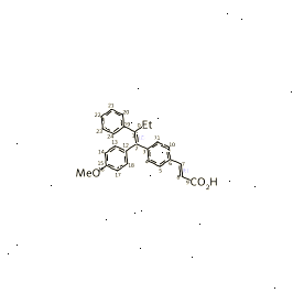 CC/C(=C(\c1ccc(/C=C/C(=O)O)cc1)c1ccc(OC)cc1)c1ccccc1